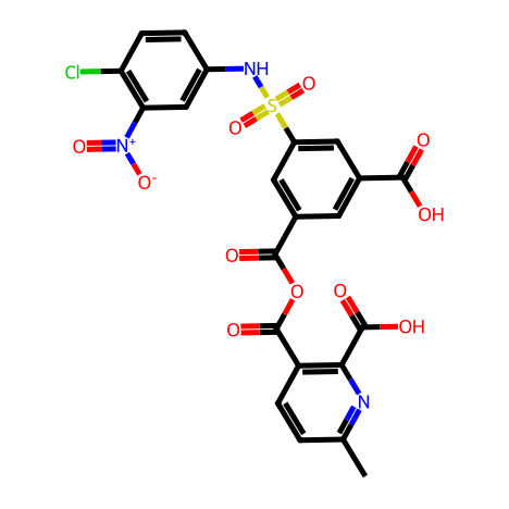 Cc1ccc(C(=O)OC(=O)c2cc(C(=O)O)cc(S(=O)(=O)Nc3ccc(Cl)c([N+](=O)[O-])c3)c2)c(C(=O)O)n1